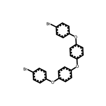 Brc1ccc(Oc2ccc(Oc3ccc(Oc4ccc(Br)cc4)cc3)cc2)cc1